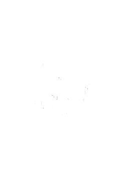 CC(C)[C@H](NC(=O)c1ccccc1C(=O)O)C(=O)N[C@@H](Cc1c[nH]c2ccccc12)C(=O)O